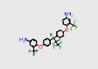 Nc1ccc(Oc2ccc(C(F)(c3ccc(Oc4ccc(N)cc4C(F)(F)F)cc3)C(F)(F)C(F)(F)F)cc2)c(C(F)(F)F)c1